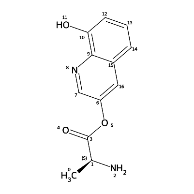 C[C@H](N)C(=O)Oc1cnc2c(O)cccc2c1